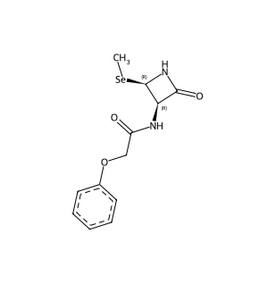 C[Se][C@H]1NC(=O)[C@H]1NC(=O)COc1ccccc1